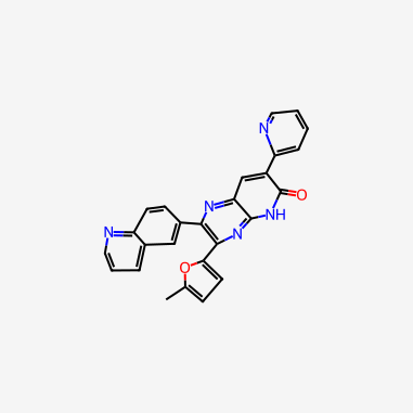 Cc1ccc(-c2nc3[nH]c(=O)c(-c4ccccn4)cc3nc2-c2ccc3ncccc3c2)o1